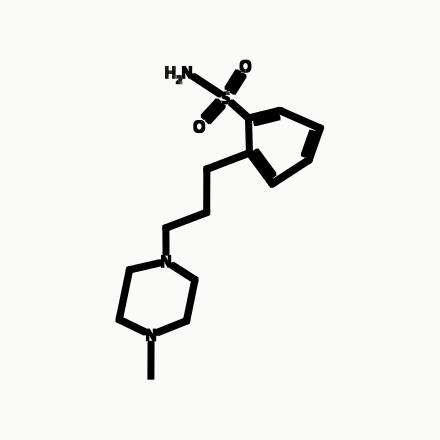 CN1CCN(CCCc2ccccc2S(N)(=O)=O)CC1